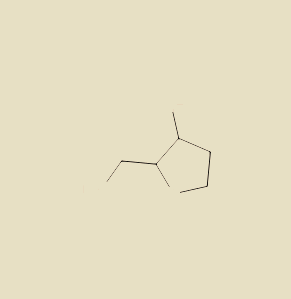 [CH2]CC1OCCC1C